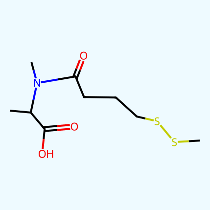 CSSCCCC(=O)N(C)C(C)C(=O)O